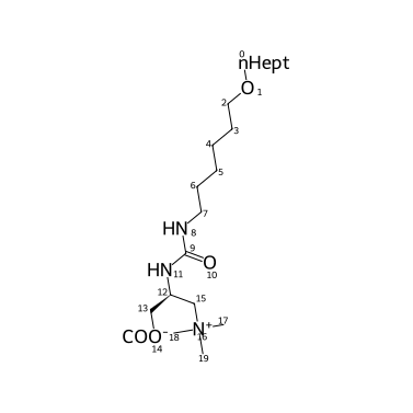 CCCCCCCOCCCCCCNC(=O)N[C@H](CC(=O)[O-])C[N+](C)(C)C